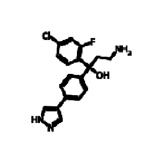 NCCC(O)(c1ccc(-c2cn[nH]c2)cc1)c1ccc(Cl)cc1F